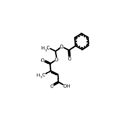 CC(=CC(=O)O)C(=O)OC(C)OC(=O)c1ccccc1